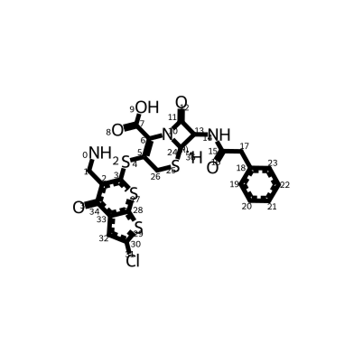 NCc1c(SC2=C(C(=O)O)N3C(=O)C(NC(=O)Cc4ccccc4)[C@H]3SC2)sc2sc(Cl)cc2c1=O